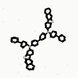 c1ccc(-c2ccc(N(c3ccc(-c4ccc(N(c5ccc(-c6ccccc6)cc5)c5ccc6c(c5)oc5cc7ccccc7cc56)cc4)cc3)c3ccc4c(c3)oc3cc5ccccc5cc34)cc2)cc1